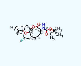 CC(C)CO[C@@H]1[C@@H](CCF)CCC[C@H](NC(=O)OC(C)(C)C)C(=O)O[C@H]1C